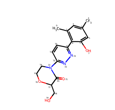 Cc1cc(C(F)(F)F)cc(O)c1-c1ccc(N2CCOC(CO)C2=O)nn1